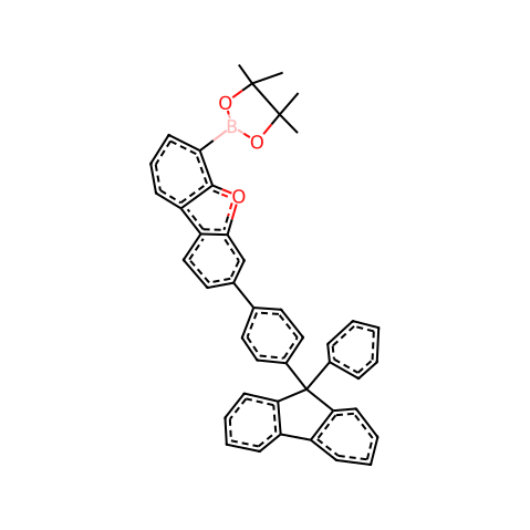 CC1(C)OB(c2cccc3c2oc2cc(-c4ccc(C5(c6ccccc6)c6ccccc6-c6ccccc65)cc4)ccc23)OC1(C)C